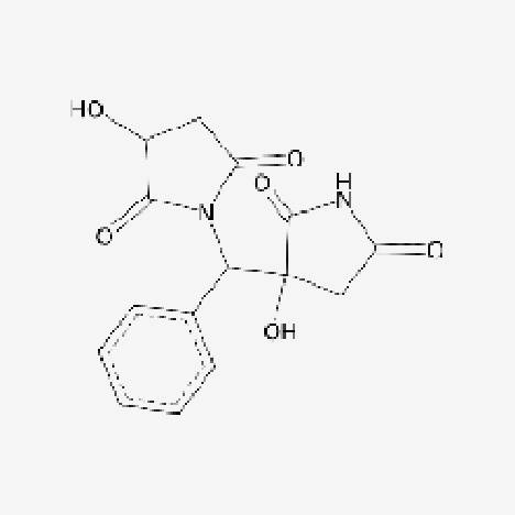 O=C1CC(O)(C(c2ccccc2)N2C(=O)CC(O)C2=O)C(=O)N1